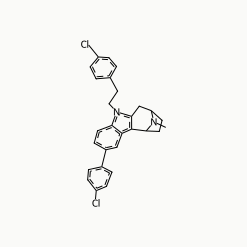 CN1C2CCC1c1c(n(CCc3ccc(Cl)cc3)c3ccc(-c4ccc(Cl)cc4)cc13)C2